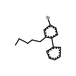 CCCCCc1cc(Br)ccc1-c1ccccc1